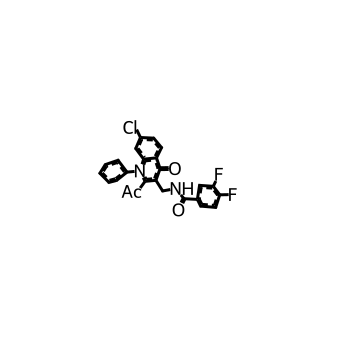 CC(=O)c1c(CNC(=O)c2ccc(F)c(F)c2)c(=O)c2ccc(Cl)cc2n1-c1ccccc1